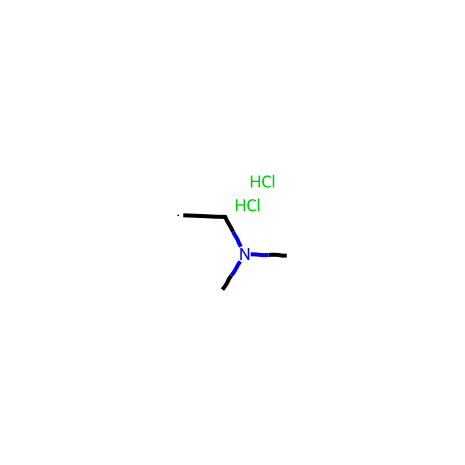 Cl.Cl.[CH2]CN(C)C